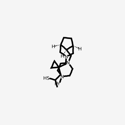 CC(S)CC1(CN2C[C@H]3CC[C@@H](C2)[C@H]3CN2CCN(C(C)C)CC2)CC1